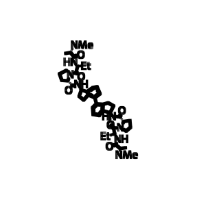 CC[C@H](NC(=O)[C@H](C)NC)C(=O)N1CCC[C@H]1C(=O)N[C@@H]1CCc2c(-c3cccc4c3CC[C@H]4NC(=O)[C@@H]3CCCN3C(=O)[C@H](CC)NC(=O)[C@H](C)NC)cccc21